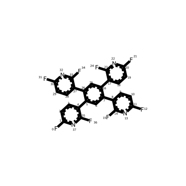 Fc1ccc(-c2cc(-c3ccc(F)nc3F)c(-c3ccc(F)nc3F)cc2-c2ccc(F)nc2F)c(F)n1